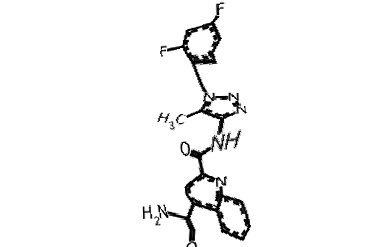 Cc1c(NC(=O)c2cc(C(N)=O)c3ccccc3n2)nnn1Cc1ccc(F)cc1F